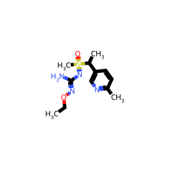 CCO/N=C(\N)N=S(C)(=O)C(C)c1ccc(C)nc1